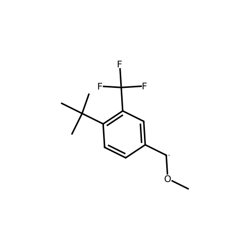 CO[CH]c1ccc(C(C)(C)C)c(C(F)(F)F)c1